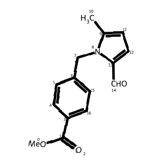 COC(=O)c1ccc(Cn2c(C)ccc2C=O)cc1